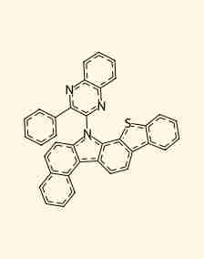 c1ccc(-c2nc3ccccc3nc2-n2c3ccc4ccccc4c3c3ccc4c5ccccc5sc4c32)cc1